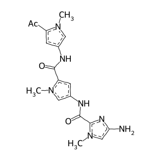 CC(=O)c1cc(NC(=O)c2cc(NC(=O)c3nc(N)cn3C)cn2C)cn1C